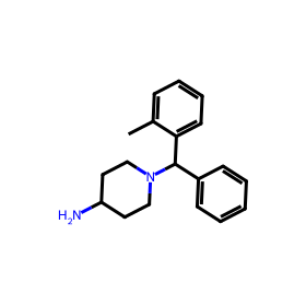 Cc1ccccc1C(c1ccccc1)N1CCC(N)CC1